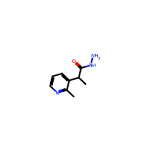 Cc1ncccc1C(C)C(=O)NN